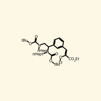 CCCCCCCN(CC(c1cccc(C=C(OCC)C(=O)OCC)c1)N(CCCCCCC)C(=O)OC(C)(C)C)C(=O)OC(C)(C)C